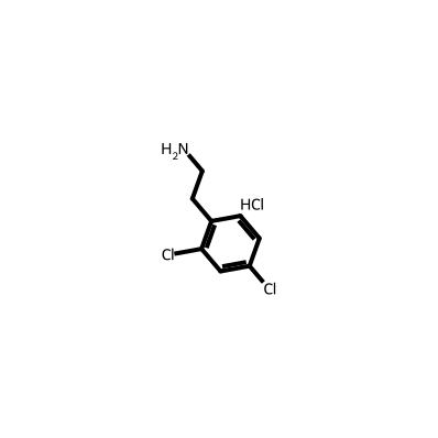 Cl.NCCc1ccc(Cl)cc1Cl